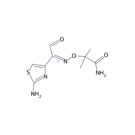 CC(C)(O/N=C(\[C]=O)c1csc(N)n1)C(N)=O